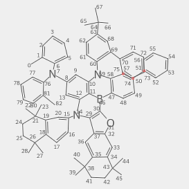 Cc1ccccc1N(c1cc2c3c(c1)N(c1ccc4c(c1)C(C)(C)CCC4(C)C)c1c(oc4cc5c(cc14)C(C)(C)CCC5(C)C)B3c1ccc(-c3ccccc3)cc1N2c1ccc(C(C)(C)C)cc1-c1ccccc1)c1ccccc1C